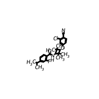 CC(C)c1ccc(C(=O)N[C@H]2C(C)(C)[C@H](Oc3ccc(C#N)c(Cl)c3)C2(C)C)c(F)c1